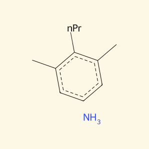 CCCc1c(C)cccc1C.N